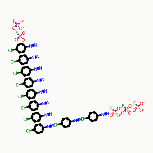 N#[N+]c1ccc(Cl)cc1.N#[N+]c1ccc(Cl)cc1.N#[N+]c1ccc(Cl)cc1.N#[N+]c1ccc(Cl)cc1.N#[N+]c1ccc(Cl)cc1.N#[N+]c1ccc(Cl)cc1.N#[N+]c1ccc(Cl)cc1.N#[N+]c1ccc(Cl)cc1.N#[N+]c1ccc(Cl)cc1.N#[N+]c1ccc(Cl)cc1.O=P([O-])([O-])F.O=P([O-])([O-])F.O=P([O-])([O-])F.O=P([O-])([O-])F.O=P([O-])([O-])F